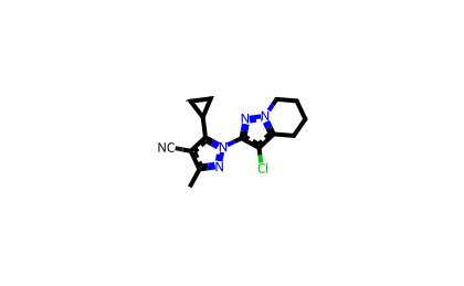 Cc1nn(-c2nn3c(c2Cl)CCCC3)c(C2[CH]C2)c1C#N